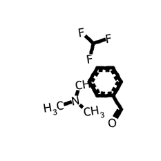 CN(C)C.FC(F)F.O=Cc1ccccc1